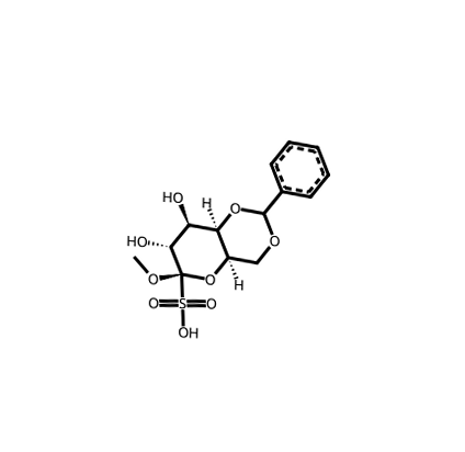 CO[C@]1(S(=O)(=O)O)O[C@@H]2COC(c3ccccc3)O[C@@H]2[C@H](O)[C@H]1O